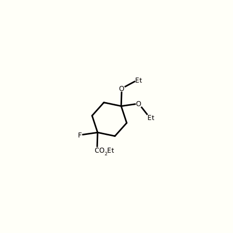 CCOC(=O)C1(F)CCC(OCC)(OCC)CC1